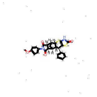 COc1ccc(N2C(=O)[C@@H]3[C@H]4C[C@H]([C@@H]5Sc6[nH]c(=O)sc6[C@@H](c6ccccc6)[C@H]45)[C@@H]3C2=O)cc1